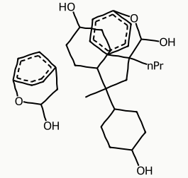 CCCC1(CC(C)(C2CCC(O)CC2)C2CCC(O)CC2)c2ccc(cc2)OC1O.OC1Cc2ccc(cc2)O1